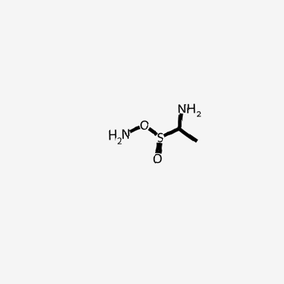 CC(N)S(=O)ON